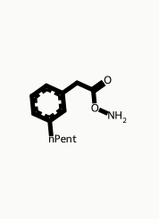 CCCCCc1cccc(CC(=O)ON)c1